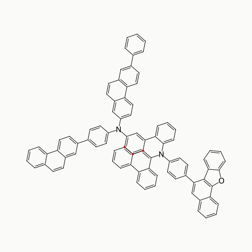 c1ccc(-c2ccc3c(ccc4cc(N(c5ccc(-c6ccc7c(ccc8ccccc87)c6)cc5)c5cccc(-c6ccccc6N(c6ccc(-c7cc8ccccc8c8oc9ccccc9c78)cc6)c6cc7ccccc7c7ccccc67)c5)ccc43)c2)cc1